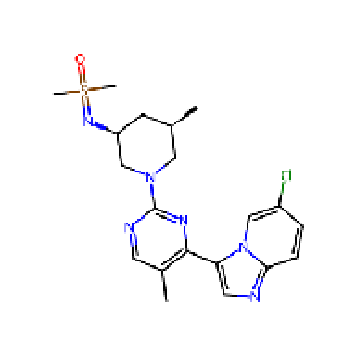 Cc1cnc(N2C[C@H](C)C[C@H](N=S(C)(C)=O)C2)nc1-c1cnc2ccc(Cl)cn12